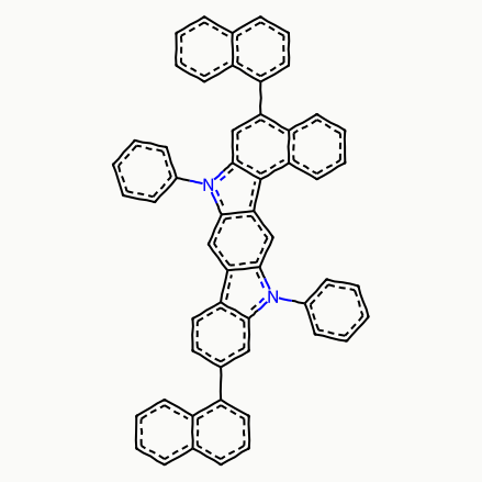 c1ccc(-n2c3cc(-c4cccc5ccccc45)ccc3c3cc4c(cc32)c2c3ccccc3c(-c3cccc5ccccc35)cc2n4-c2ccccc2)cc1